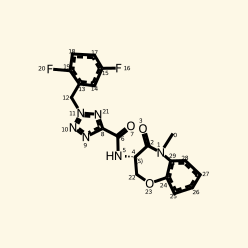 CN1C(=O)[C@@H](NC(=O)c2nnn(Cc3cc(F)ccc3F)n2)COc2ccccc21